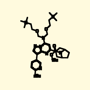 CCCCc1ccc(-c2cnn3c(N(COCC[Si](C)(C)C)COCC[Si](C)(C)C)cc(C4CC5CCC(C4)N5C(=O)OC(C)(C)C)nc23)cn1